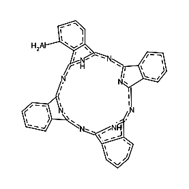 [AlH2][c]1cccc2c3nc4nc(nc5[nH]c(nc6nc(nc([nH]3)c12)-c1ccccc1-6)c1ccccc51)-c1ccccc1-4